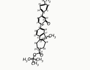 Cc1ccc(-c2ccn(-c3ccc4c5c(n(C)c4c3)CCN(C(=O)OC(C)(C)C)CC5)c(=O)c2)cc1